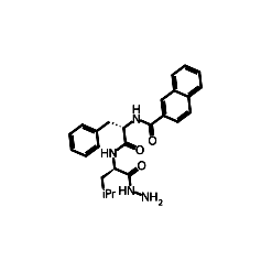 CC(C)C[C@@H](NC(=O)[C@H](Cc1ccccc1)NC(=O)c1ccc2ccccc2c1)C(=O)NN